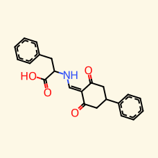 O=C1CC(c2ccccc2)CC(=O)C1=CNC(Cc1ccccc1)C(=O)O